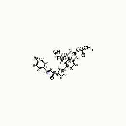 CCCC[C@H]1[C@H]([C@@H]2CC[C@H](C(=O)/C=C/c3ccc(F)cc3)C2)CC=C2C[C@@H](OC(C)=O)CC[C@@]21C